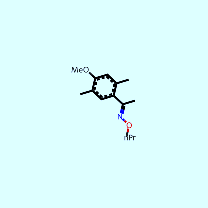 CCCO/N=C(\C)c1cc(C)c(OC)cc1C